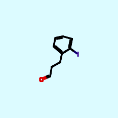 O=CCCc1ccccc1I